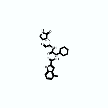 Cc1cccc2[nH]c(C(=O)N[C@H](C(=O)N[C@H](C=O)C[C@@H]3CCNC3=O)C3CCCCC3)cc12